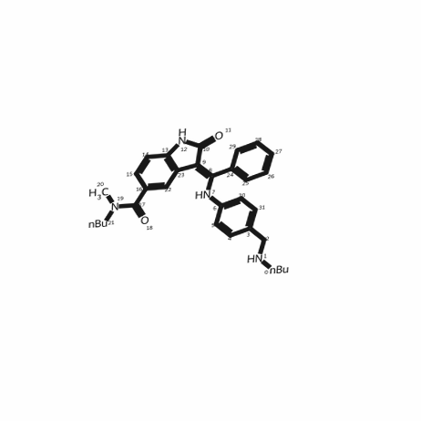 CCCCNCc1ccc(NC(=C2C(=O)Nc3ccc(C(=O)N(C)CCCC)cc32)c2ccccc2)cc1